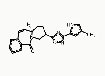 Cc1c[nH]c(-c2noc([C@@H]3CC[C@@H]4C=Cc5ccccc5C(=O)N4C3)n2)c1